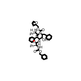 CC(C)[C@H](N)C(=O)N(C(=O)OCc1ccco1)C(Cc1ccccc1)C(O)C(Cc1ccccc1)NC(=O)[C@@H](NC(=O)OCc1ccccc1)C(C)C